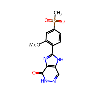 COc1cc(S(C)(=O)=O)ccc1-c1nc2c(=O)[nH]ncc2[nH]1